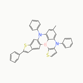 Cc1cc2c3c(c1)N(c1ccccc1)c1ccsc1B3c1cc3cc(-c4ccccc4)sc3cc1N2c1ccccc1